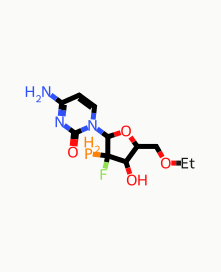 CCOCC1OC(n2ccc(N)nc2=O)C(F)(P)C1O